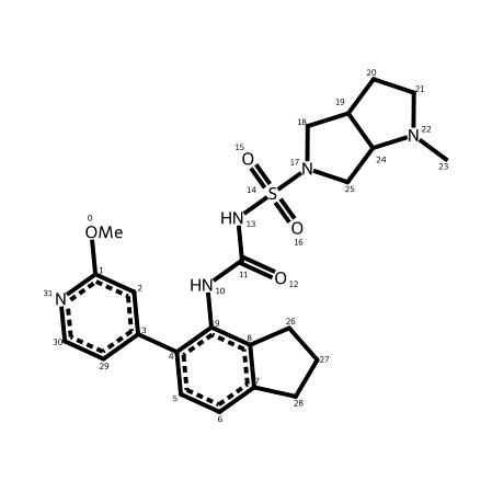 COc1cc(-c2ccc3c(c2NC(=O)NS(=O)(=O)N2CC4CCN(C)C4C2)CCC3)ccn1